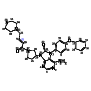 Nc1ncnc2c1n(-c1ccc(Oc3ccccc3)cc1)c(=O)n2C1CCN(C(=O)/C=C/CN2CCSCC2)C1